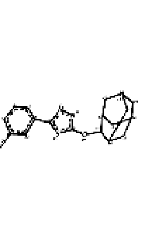 Brc1cccc(-c2nnc(OC3C4CC5CC3CN(C5)C4)s2)c1